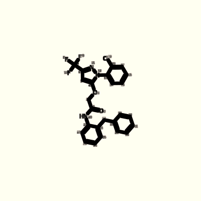 O=C(COc1cc(C(F)(F)F)nn1-c1ccccc1Cl)Nc1ccccc1Cc1ccccc1